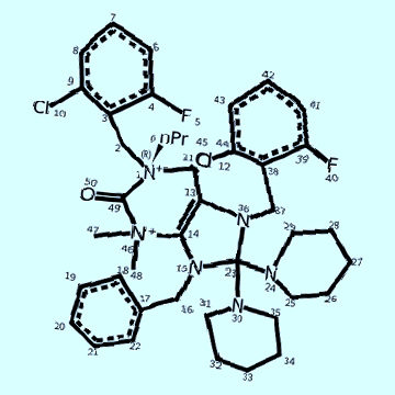 CCC[N@@+]1(Cc2c(F)cccc2Cl)C(=O)C2=C(N(Cc3ccccc3)C(N3CCCCC3)(N3CCCCC3)N2Cc2c(F)cccc2Cl)[N+](C)(C)C1=O